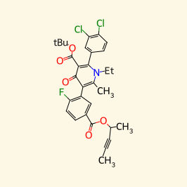 CC#CC(C)OC(=O)c1ccc(F)c(-c2c(C)n(CC)c(-c3ccc(Cl)c(Cl)c3)c(C(=O)OC(C)(C)C)c2=O)c1